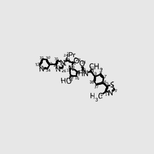 Cc1ncsc1-c1ccc([C@H](C)NC(=O)[C@@H]2C[C@@H](O)CN2C(=O)[C@H](C(C)C)n2cnc(-c3cccnc3)c2)cc1